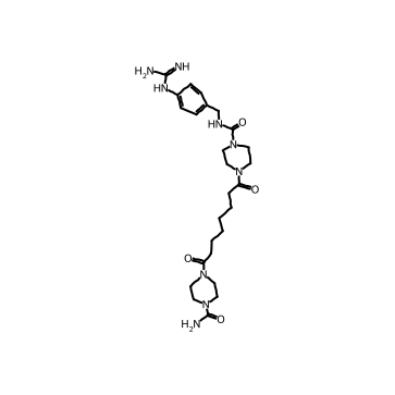 N=C(N)Nc1ccc(CNC(=O)N2CCN(C(=O)CCCCCCC(=O)N3CCN(C(N)=O)CC3)CC2)cc1